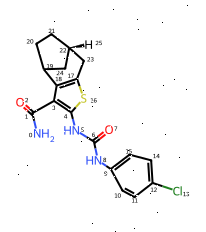 NC(=O)c1c(NC(=O)Nc2ccc(Cl)cc2)sc2c1C1CC[C@H](C2)C1